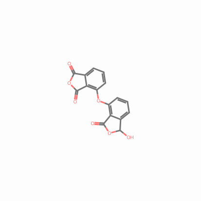 O=C1OC(=O)c2c(Oc3cccc4c3C(=O)OC4O)cccc21